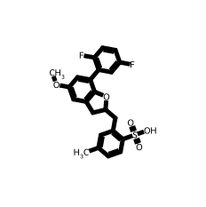 COc1cc2c(c(-c3cc(F)ccc3F)c1)OC(Cc1cc(C)ccc1S(=O)(=O)O)C2